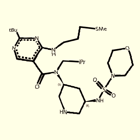 CSCCCNc1nc(C(C)(C)C)ncc1C(=O)N(CC(C)C)[C@@H]1CNC[C@H](NS(=O)(=O)N2CCOCC2)C1